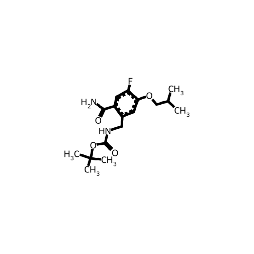 CC(C)COc1cc(CNC(=O)OC(C)(C)C)c(C(N)=O)cc1F